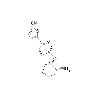 N#Cc1ccc(-c2ccc(O[C@@H]3CCCC[C@@H]3N)cn2)s1